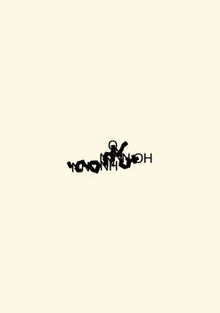 C=CCn1c(=O)c2cnc(Nc3ccc(N4CCN(CC)CC4)cc3)nc2n1-c1cccc(C(C)(C)O)n1